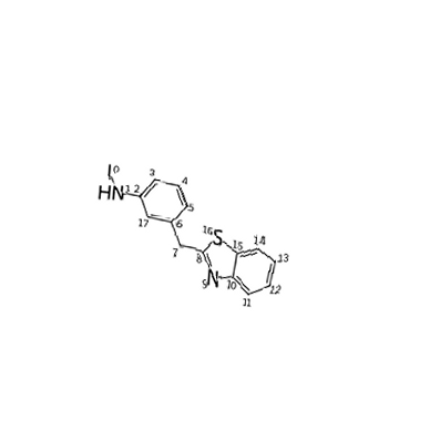 INc1cccc(Cc2nc3ccccc3s2)c1